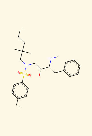 COc1ccc(S(=O)(=O)N(C[C@H](O)[C@H](Cc2ccccc2)NC(=O)O)CC(C)(C)CCC#N)cc1